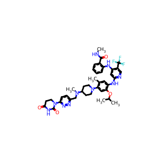 CNC(=O)c1ccccc1Nc1cc(Nc2cc(C)c(N3CCC(N(C)Cc4ccc(N5CCC(=O)NC5=O)nn4)CC3)cc2OC(C)C)ncc1C(F)(F)F